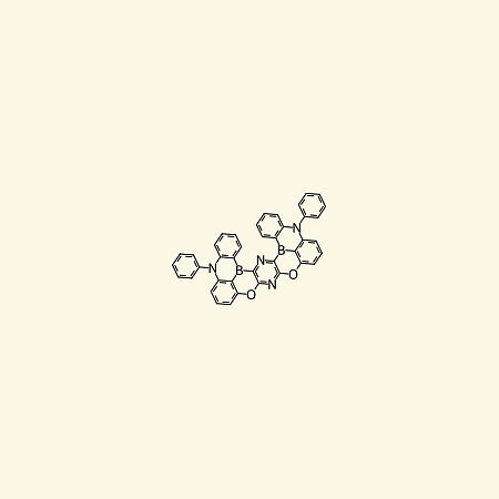 c1ccc(N2c3ccccc3B3c4nc5c(nc4Oc4cccc2c43)Oc2cccc3c2B5c2ccccc2N3c2ccccc2)cc1